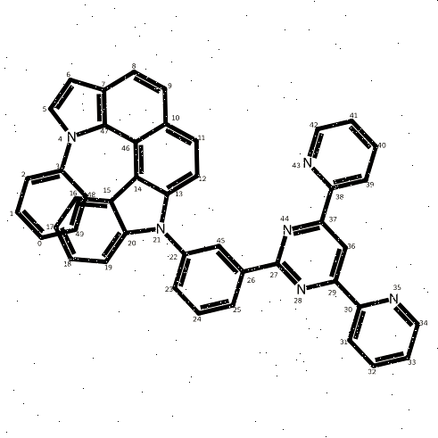 c1ccc(-n2ccc3ccc4ccc5c(c6ccccc6n5-c5cccc(-c6nc(-c7ccccn7)cc(-c7ccccn7)n6)c5)c4c32)cc1